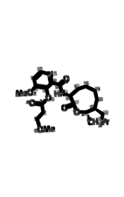 COCCC(=O)Oc1c(OC)ccnc1C(=O)N[C@H]1CCCC[C@@H](CC(C)C)[C@H](C)OC1=O